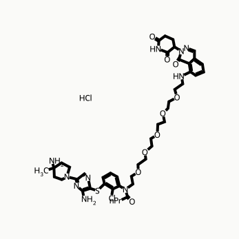 CCCC(=O)N(CCOCCOCCOCCOCCOCCNc1cccc2cnn(C3CCC(=O)NC3=O)c(=O)c12)c1cccc(Sc2ncc(N3CCC(C)(N)CC3)nc2N)c1Cl.Cl